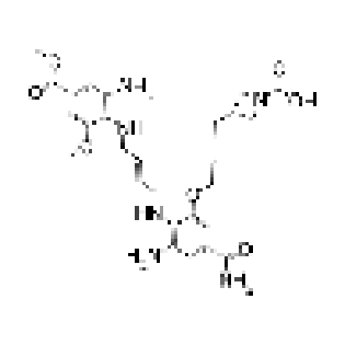 COC(=O)c1cc(N)c(NCC=CCNc2c(N)cc(C(N)=O)cc2OCC#CCC2CN(C(=O)O)C2)c(OC)c1